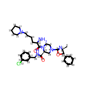 C[C@@H]1N=C(N2CCN(C(=O)C(N)CCCCN3CCCCC3)[C@H](C(=O)NCc3cccc(Cl)c3)C2)O[C@H]1c1ccccc1